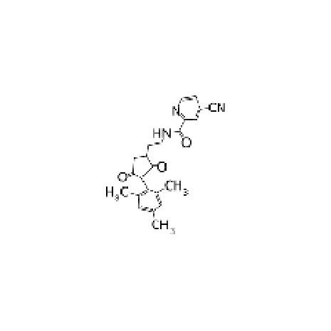 Cc1cc(C)c(C2C(=O)CC(CCNC(=O)c3cc(C#N)ccn3)C2=O)c(C)c1